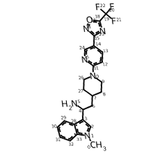 Cn1cc(C(N)CC2CCN(c3ccc(-c4noc(C(F)(F)F)n4)cn3)CC2)c2ccccc21